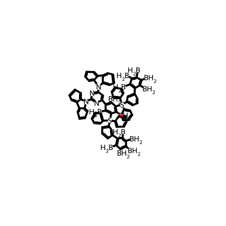 Bc1c(B)c(B)c(-c2cccc(S(c3ccccc3)(c3ccccc3)c3c(B)c(-c4cc(-n5c6ccccc6c6ccccc65)nc(-n5c6ccccc6c6ccccc65)n4)c(B)c(S(c4ccccc4)(c4ccccc4)c4cccc(-c5c(B)c(B)c(B)c(B)c5B)c4)c3B)c2)c(B)c1B